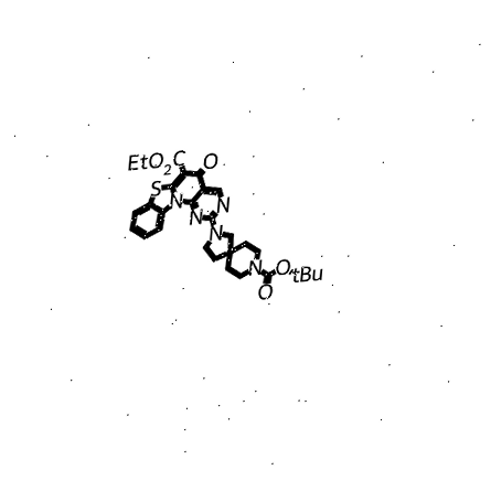 CCOC(=O)c1c(=O)c2cnc(N3CCC4(CCN(C(=O)OC(C)(C)C)CC4)C3)nc2n2c1sc1ccccc12